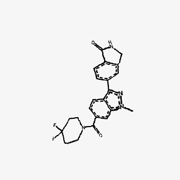 Cn1nc(-c2ccc3c(c2)CNC3=O)c2ccc(C(=O)N3CCC(F)(F)CC3)cc21